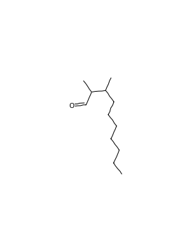 CCCCCCCC(C)C(C)C=O